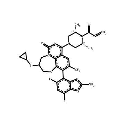 C=CC(=O)N1[C@H](C)CN(c2nc(=O)n3c4c(c(-c5c(F)cc(F)c6sc(N)nc56)c(C(F)(F)F)cc24)SCC(OC2CC2)C3)C[C@@H]1C